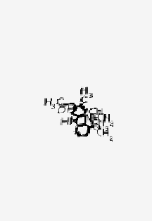 COc1cccc2c1N(C(C)(C)C)c1cc(C)c(C[C@@H](C)O)cc1N2